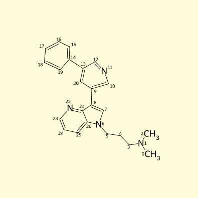 CN(C)CCCn1cc(-c2cncc(-c3ccccc3)c2)c2ncccc21